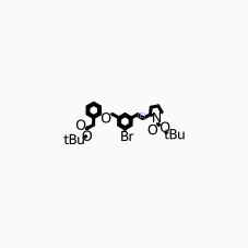 CC(C)(C)OC(=O)Cc1ccccc1OCc1cc(Br)cc(/C=C/C2CCCN2C(=O)OC(C)(C)C)c1